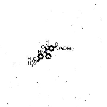 COCCOC(=O)c1ccc2c(c1)NC(=O)/C2=C(\Nc1ccc(CN(C)C)cc1)c1ccccc1